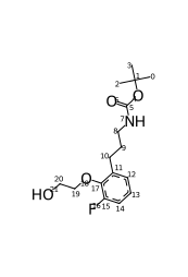 CC(C)(C)OC(=O)NCCCc1cccc(F)c1OCCO